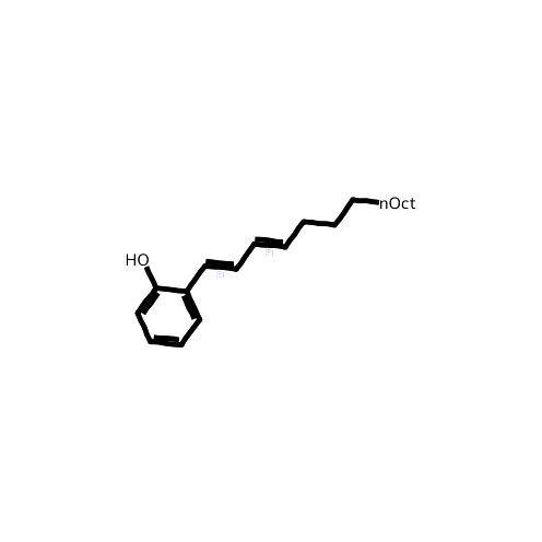 CCCCCCCCCCC/C=C/C=C/c1ccccc1O